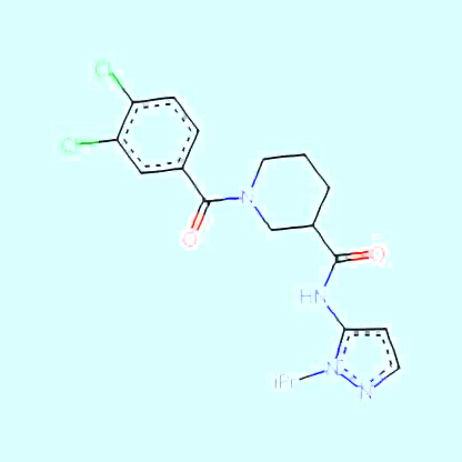 CC(C)n1nccc1NC(=O)C1CCCN(C(=O)c2ccc(Cl)c(Cl)c2)C1